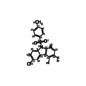 Cc1ccc(S(=O)(=O)n2c3cnc(Cl)cc3c3c(I)c(F)cnc32)cc1